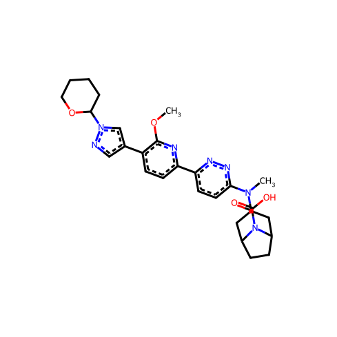 COc1nc(-c2ccc(N(C)C3CC4CCC(C3)N4C(=O)O)nn2)ccc1-c1cnn(C2CCCCO2)c1